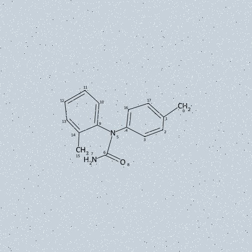 [CH2]c1ccc(N(C(N)=O)c2ccccc2C)cc1